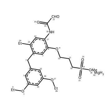 CCOc1cc(Cc2cc(OCCCS(=O)(=O)OC)c(NC(=O)C=O)cc2CC)cc(OCC)c1.[MgH2]